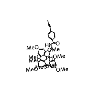 CC#Cc1ccc(C(=O)NCCC[PH](c2c(OC)cc(OC)cc2OC)(c2c(OC)cc(OC)cc2OC)c2c(OC)cc(OC)cc2OC)cc1